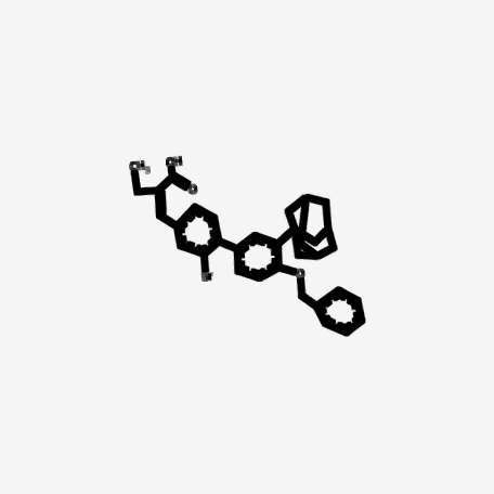 CCC(=Cc1ccc(-c2ccc(OCc3ccccc3)c(C34CC5CC(CC(C5)C3)C4)c2)c(Br)c1)C(=O)O